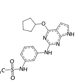 CS(=O)(=O)Nc1cccc(Nc2nc(OC3CCCC3)c3cc[nH]c3n2)c1